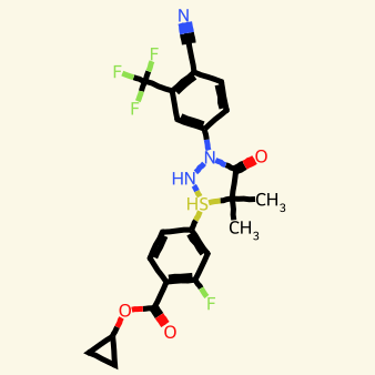 CC1(C)C(=O)N(c2ccc(C#N)c(C(F)(F)F)c2)N[SH]1c1ccc(C(=O)OC2CC2)c(F)c1